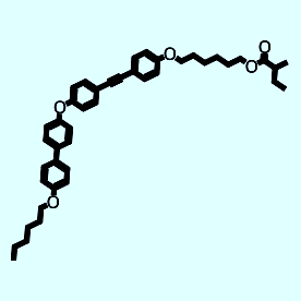 CCCCCCOc1ccc(-c2ccc(Oc3ccc(C#Cc4ccc(OCCCCCCOC(=O)C(C)CC)cc4)cc3)cc2)cc1